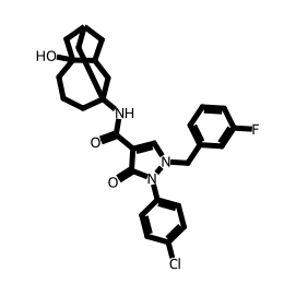 O=C(NC12CCCC3(O)CC(CC3C1)C2)c1cn(Cc2cccc(F)c2)n(-c2ccc(Cl)cc2)c1=O